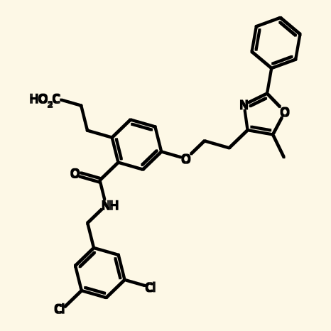 Cc1oc(-c2ccccc2)nc1CCOc1ccc(CCC(=O)O)c(C(=O)NCc2cc(Cl)cc(Cl)c2)c1